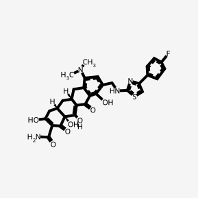 CN(C)c1cc(CNc2nc(-c3ccc(F)cc3)cs2)c(O)c2c1C[C@H]1C[C@H]3CC(O)=C(C(N)=O)C(=O)[C@@]3(O)C(O)=C1C2=O